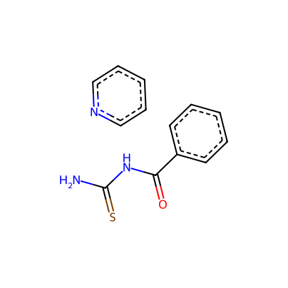 NC(=S)NC(=O)c1ccccc1.c1ccncc1